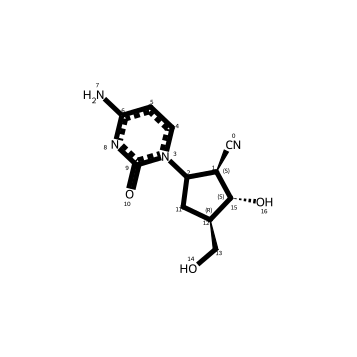 N#C[C@@H]1C(n2ccc(N)nc2=O)C[C@H](CO)[C@H]1O